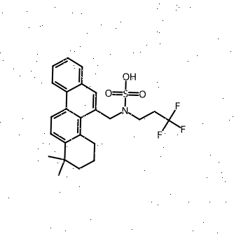 CC1(C)CCCc2c1ccc1c2c(CN(CCC(F)(F)F)S(=O)(=O)O)cc2ccccc21